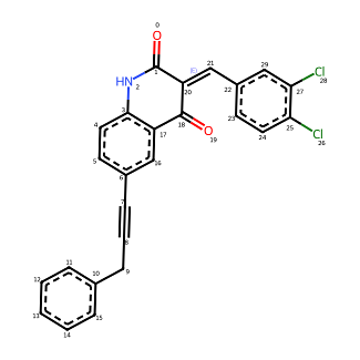 O=C1Nc2ccc(C#CCc3ccccc3)cc2C(=O)/C1=C\c1ccc(Cl)c(Cl)c1